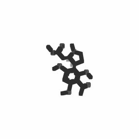 COC(=O)C[C@@H]1[C@H](c2c(OC)cc(OC)c(C(C)=O)c2OC)CCN1C